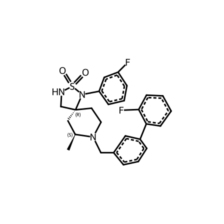 C[C@H]1C[C@]2(CCN1Cc1cccc(-c3ccccc3F)c1)CNS(=O)(=O)N2c1cccc(F)c1